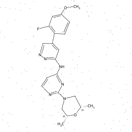 COc1ccc(-c2cnnc(Nc3ccnc(N4C[C@@H](C)O[C@@H](C)C4)n3)c2)c(F)c1